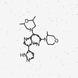 CC1CN(c2cc(N3CCOCC3C)nn3c(-c4ccn[nH]4)cnc23)CC(C)O1